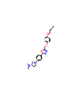 CCCCOc1ccc(OCc2nnc(-c3ccc(N4CCC(N(C)C)C4)cc3)o2)cc1